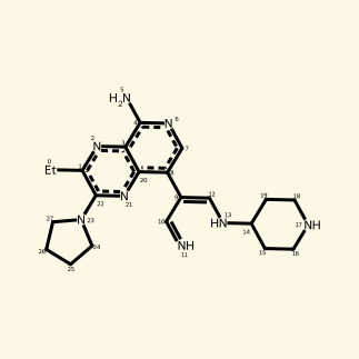 CCc1nc2c(N)ncc(/C(C=N)=C/NC3CCNCC3)c2nc1N1CCCC1